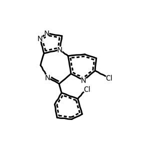 Clc1ccc2c(n1)C(c1ccccc1Cl)=NCc1nncn1-2